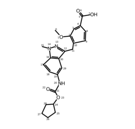 COc1cc(C(=O)O)ccc1Cc1nn(C)c2ccc(NC(=O)OC3CCCC3)cc12